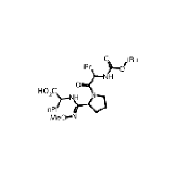 CCC[C@H](NC(=NOC)[C@@H]1CCCN1C(=O)C(NC(=O)OC(C)(C)C)C(C)C)C(=O)O